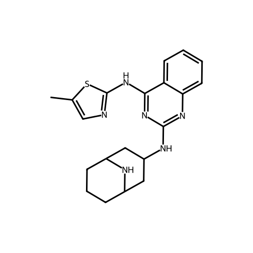 Cc1cnc(Nc2nc(NC3CC4CCCC(C3)N4)nc3ccccc23)s1